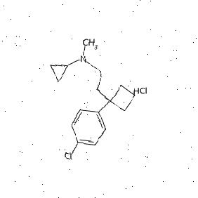 CN(CCC1(c2ccc(Cl)cc2)CCC1)C1CC1.Cl